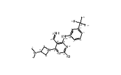 CN(C)C1CN(c2nc(Cl)nc(Nc3cccc(C(F)(F)F)c3)c2C=N)C1